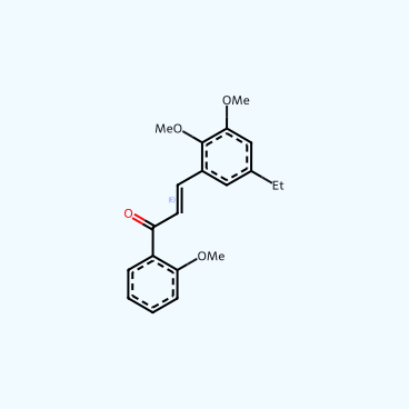 CCc1cc(/C=C/C(=O)c2ccccc2OC)c(OC)c(OC)c1